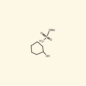 COS(C)(=O)=O.OC1CCCCC1